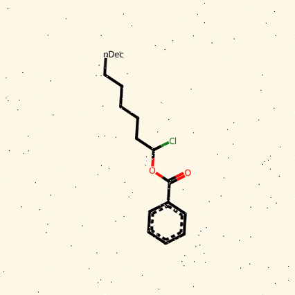 CCCCCCCCCCCCCCCC(Cl)OC(=O)c1ccccc1